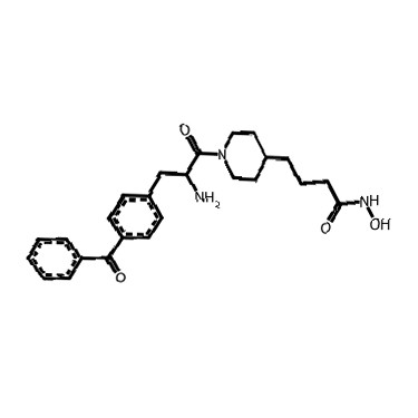 NC(Cc1ccc(C(=O)c2ccccc2)cc1)C(=O)N1CCC(CCCC(=O)NO)CC1